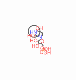 O=P(O)(O)OCC1OC(N2C=CC34CCCCCCCCCCCC2(C3)C(O)NC4O)C(O)C1O